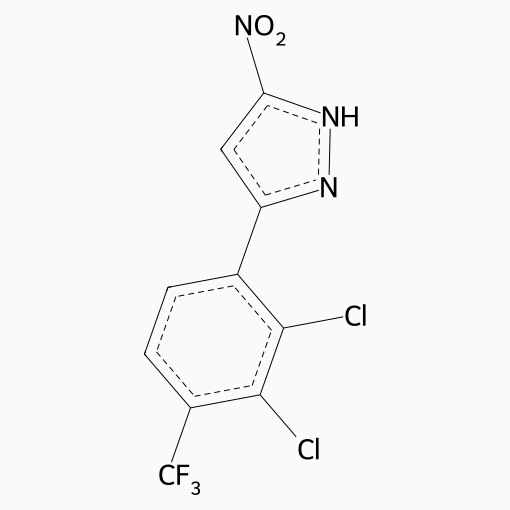 O=[N+]([O-])c1cc(-c2ccc(C(F)(F)F)c(Cl)c2Cl)n[nH]1